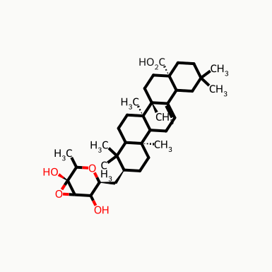 CC1O[C@@H](C[C@@H]2CC[C@@]3(C)C(CC[C@]4(C)C3CC=C3C5CC(C)(C)CC[C@]5(C(=O)O)CC[C@]34C)C2(C)C)C(O)C2O[C@]12O